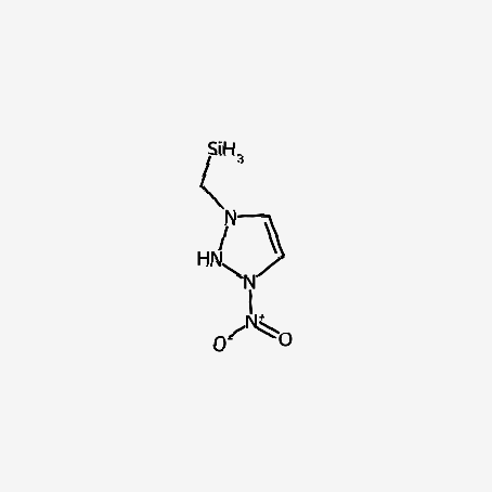 O=[N+]([O-])N1C=CN(C[SiH3])N1